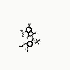 CCOc1cc([C@@H](CS(C)(=O)=O)N2C(=O)c3cc(Br)cc([N+](=O)[O-])c3C2=O)ccc1OC